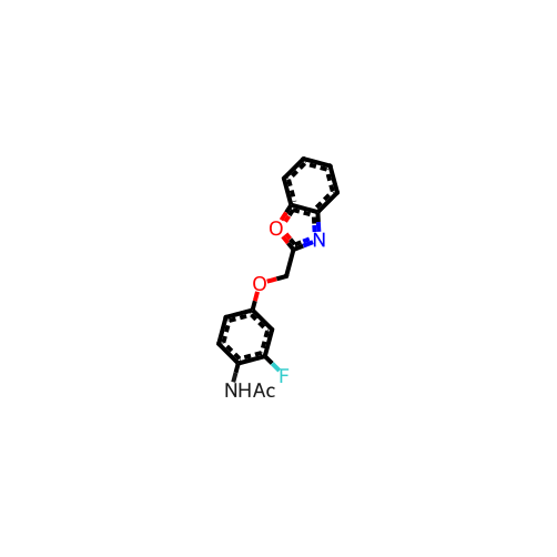 CC(=O)Nc1ccc(OCc2nc3ccccc3o2)cc1F